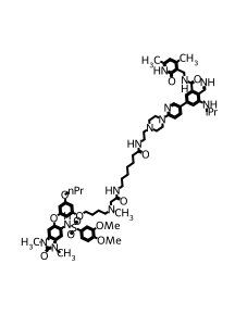 CCCOc1cc(OCCCCN(C)CC(=O)NCCCCCCC(=O)NCCN2CCN(c3ccc(-c4cc(NC(C)C)c(C=N)c(C(=O)NCc5c(C)cc(C)[nH]c5=O)c4)cn3)CC2)cc(Oc2cc3c(cc2NS(=O)(=O)c2ccc(OC)c(OC)c2)n(C)c(=O)n3C)c1